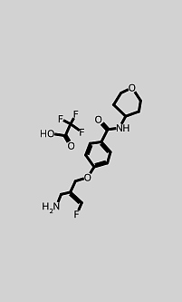 NCC(=CF)COc1ccc(C(=O)NC2CCOCC2)cc1.O=C(O)C(F)(F)F